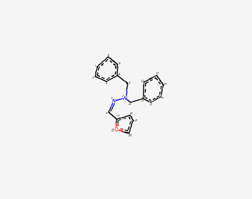 C(=N/N(Cc1ccccc1)Cc1ccccc1)/c1ccco1